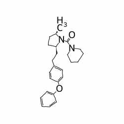 C[C@@H]1CC[C@H](CCc2ccc(Oc3ccccc3)cc2)N1C(=O)N1CCCCC1